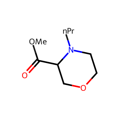 CCCN1CCOCC1C(=O)OC